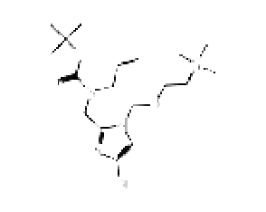 CCCN(Cc1nc(Br)cn1COCC[Si](C)(C)C)C(=O)OC(C)(C)C